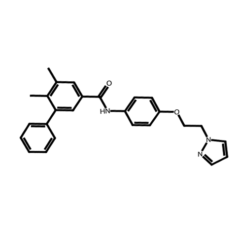 Cc1cc(C(=O)Nc2ccc(OCCn3cccn3)cc2)cc(-c2ccccc2)c1C